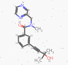 CN(Cc1cnccn1)C(=O)c1cccc(C#CC(C)(C)O)c1